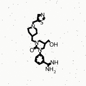 N=C(N)c1cccc(N2CC(CO)CN(CC3CCN(Cc4cncs4)CC3)C2=O)c1